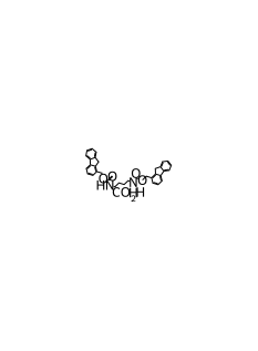 O=C(NCCC[C@H](NC(=O)OCc1cccc2c1Cc1ccccc1-2)C(=O)O)OCc1cccc2c1Cc1ccccc1-2